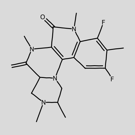 C=C1C2CN(C)C(C)CN2c2c(c(=O)n(C)c3c(F)c(C)c(F)cc23)N1C